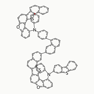 c1ccc(N(c2ccc(-c3cccc4ccc(-c5ccc6ccc7c8ccc9oc%10cccc(N(c%11ccccc%11)c%11ccc%12c(c%11)sc%11ccccc%11%12)c%10c9c8sc7c6c5)cc34)cc2)c2cccc3oc4ccc5c6ccc7ccccc7c6sc5c4c23)cc1